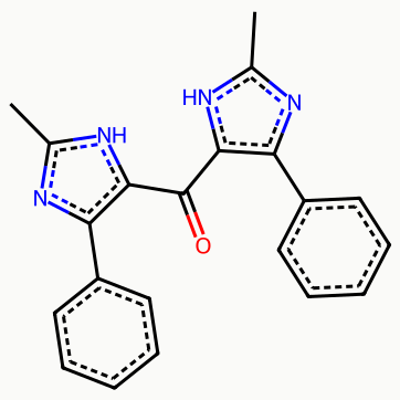 Cc1nc(-c2ccccc2)c(C(=O)c2[nH]c(C)nc2-c2ccccc2)[nH]1